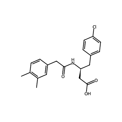 Cc1ccc(CC(=O)N[C@H](CC(=O)O)Cc2ccc(Cl)cc2)cc1C